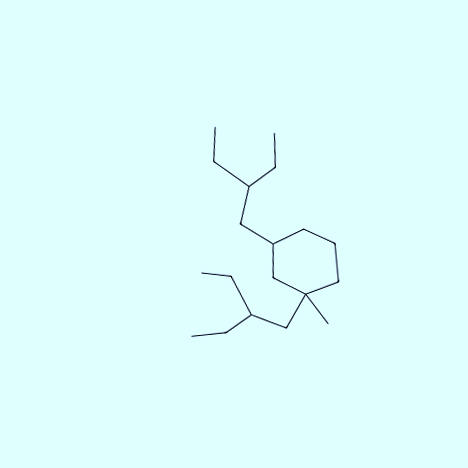 CCC(CC)CC1CCCC(C)(CC(CC)CC)C1